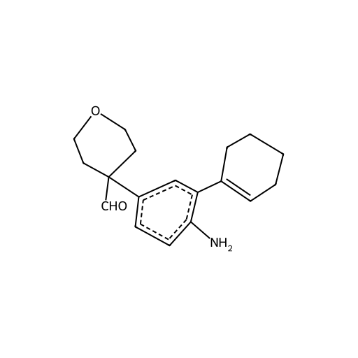 Nc1ccc(C2(C=O)CCOCC2)cc1C1=CCCCC1